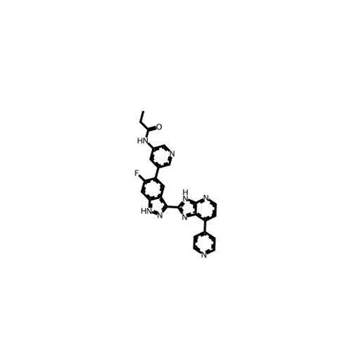 CCC(=O)Nc1cncc(-c2cc3c(-c4nc5c(-c6ccncc6)ccnc5[nH]4)n[nH]c3cc2F)c1